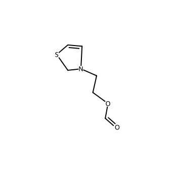 O=COCCN1C=CSC1